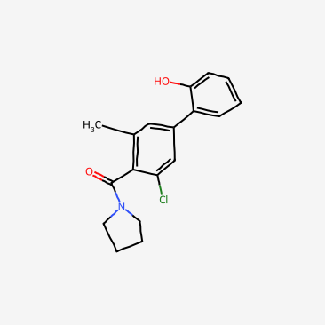 Cc1cc(-c2ccccc2O)cc(Cl)c1C(=O)N1CCCC1